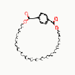 O=C1OCCCCCCCCCCCCCCCCCCOC(=O)c2ccc1cc2